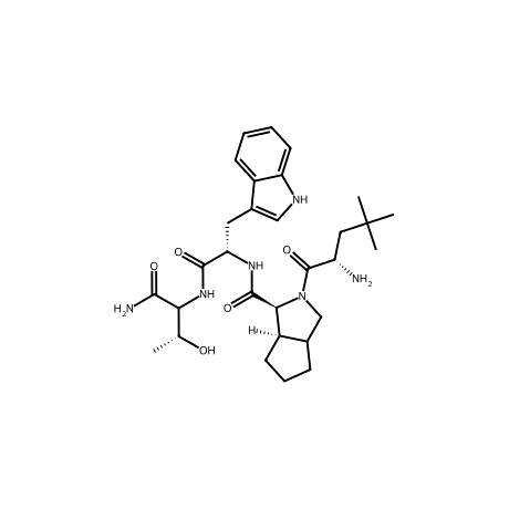 C[C@@H](O)C(NC(=O)[C@H](Cc1c[nH]c2ccccc12)NC(=O)[C@@H]1[C@@H]2CCCC2CN1C(=O)[C@@H](N)CC(C)(C)C)C(N)=O